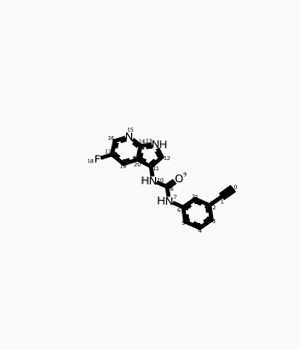 C#Cc1cccc(NC(=O)Nc2c[nH]c3ncc(F)cc23)c1